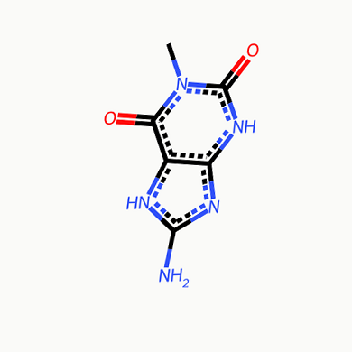 Cn1c(=O)[nH]c2nc(N)[nH]c2c1=O